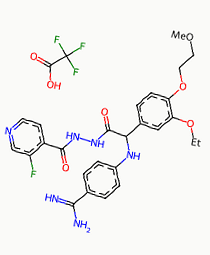 CCOc1cc(C(Nc2ccc(C(=N)N)cc2)C(=O)NNC(=O)c2ccncc2F)ccc1OCCOC.O=C(O)C(F)(F)F